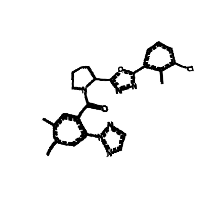 Cc1cc(C(=O)N2CCCC2c2nnc(-c3cccc(Cl)c3C)o2)c(-n2nccn2)cc1C